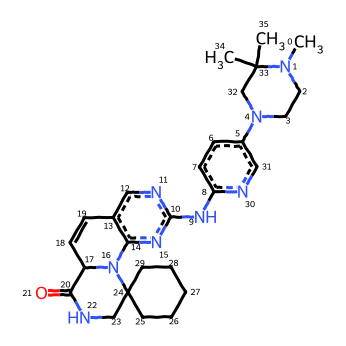 CN1CCN(c2ccc(Nc3ncc4c(n3)N3C(C=C4)C(=O)NCC34CCCCC4)nc2)CC1(C)C